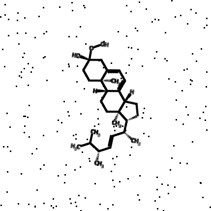 CC(C)[C@@H](C)C=C[C@@H](C)[C@H]1CC[C@H]2C3=CC=C4C[C@@](O)(OO)CC[C@]4(C)[C@H]3CC[C@]12C